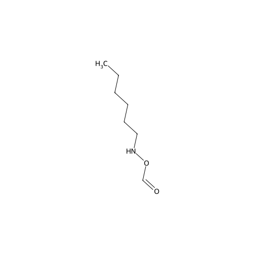 CCCCCCNOC=O